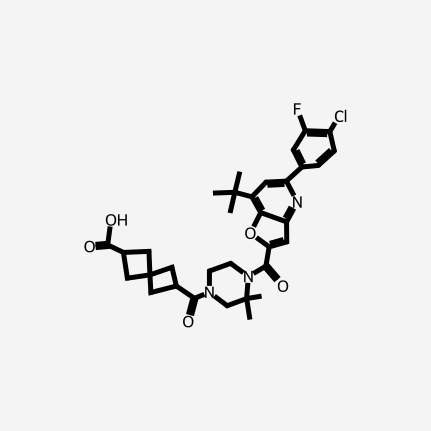 CC(C)(C)c1cc(-c2ccc(Cl)c(F)c2)nc2cc(C(=O)N3CCN(C(=O)C4CC5(CC(C(=O)O)C5)C4)CC3(C)C)oc12